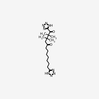 CC(C)(CC(=O)CCCCCCCc1nnn[nH]1)C(C)(C)C(=O)c1nnn[nH]1